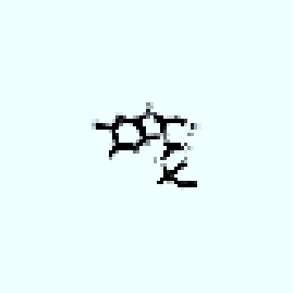 CCC(C)(C)OC(=O)n1c(CO)nc2cc(C)c(C)cc21